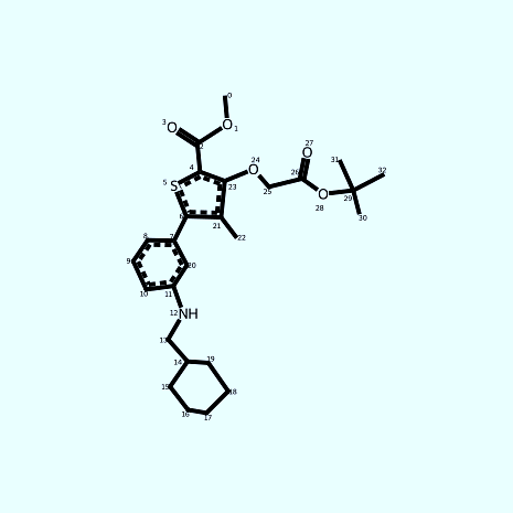 COC(=O)c1sc(-c2cccc(NCC3CCCCC3)c2)c(C)c1OCC(=O)OC(C)(C)C